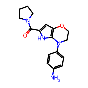 Nc1ccc(N2CCOc3cc(C(=O)N4CCCC4)[nH]c32)cc1